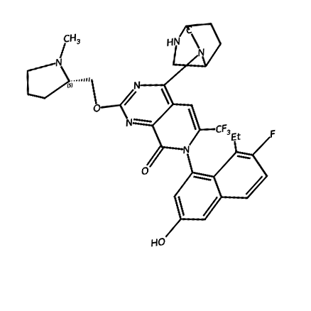 CCc1c(F)ccc2cc(O)cc(-n3c(C(F)(F)F)cc4c(N5CC6CCC5CN6)nc(OC[C@@H]5CCCN5C)nc4c3=O)c12